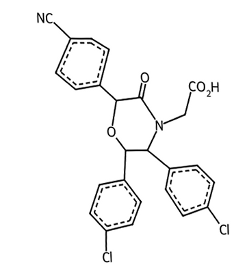 N#Cc1ccc(C2OC(c3ccc(Cl)cc3)C(c3ccc(Cl)cc3)N(CC(=O)O)C2=O)cc1